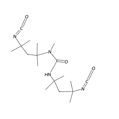 CN(C(=O)NC(C)(C)CC(C)(C)N=C=O)C(C)(C)CC(C)(C)N=C=O